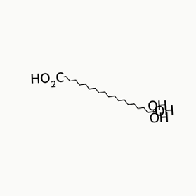 O=C(O)CCCCCCCCCCCCCCCCCCC(O)(O)O